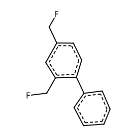 FCc1ccc(-c2ccccc2)c(CF)c1